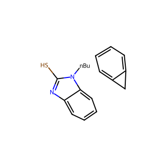 CCCCn1c(S)nc2ccccc21.c1ccc2c(c1)C2